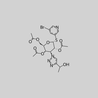 CC(=O)OC[C@H]1O[C@H](Sc2cncc(Br)c2)[C@H](OC(C)=O)[C@@H](n2cc(C(C)O)nn2)[C@H]1OC(C)=O